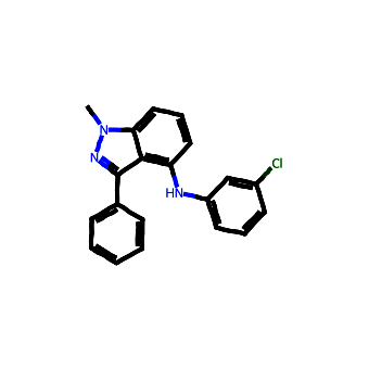 Cn1nc(-c2ccccc2)c2c(Nc3cccc(Cl)c3)cccc21